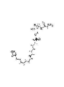 C=CC(=O)OC(C)C(O)COC(=O)CCCCCCC/C=C\C/C=C\CCCCC